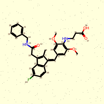 COc1cc(C=C2C(C)=C(CC(=O)NCc3ccccc3)c3cc(F)ccc32)cc(OC)c1NCCC(=O)O